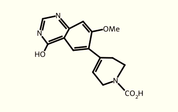 COc1cc2ncnc(O)c2cc1C1=CCN(C(=O)O)CC1